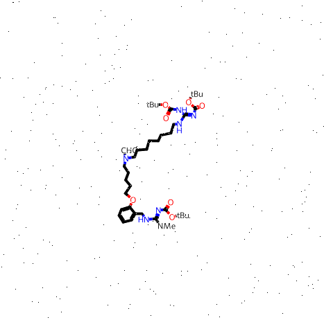 CNC(=NC(=O)OC(C)(C)C)NCc1ccccc1OCCCCCN(C=O)CCCCCCCCNC(=NC(=O)OC(C)(C)C)NC(=O)OC(C)(C)C